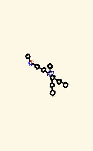 c1ccc(-c2ccc(-c3cc4nc(-c5ccccc5)c(-c5ccc(-c6ccc(-c7nnc(-c8ccccc8)o7)cc6)cc5)nc4cc3-c3ccc(-c4ccccc4)cc3)cc2)cc1